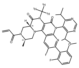 [2H]C([2H])([2H])N1C(=O)[C@H]2CN(C(=O)C=C)[C@H](C)CN2c2c1c(=O)n(-c1c(C(C)C)ncnc1C(C)C)c1nc(-c3c(F)cccc3OC)c(F)cc21